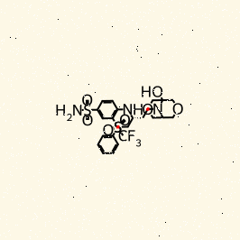 NS(=O)(=O)c1ccc(N[C@H](CCN2C3COCC2(O)COC3)CSc2ccccc2)c(S(=O)(=O)C(F)(F)F)c1